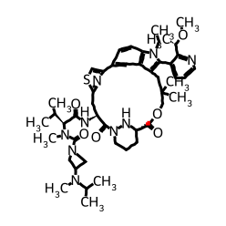 CCn1c(-c2cccnc2[C@H](C)OC)c2c3cc(ccc31)-c1csc(n1)C[C@H](NC(=O)[C@H](C(C)C)N(C)C(=O)N1CC(N(C)C(C)C)C1)C(=O)N1CCC[C@](C=O)(COCC(C)(C)C2)N1